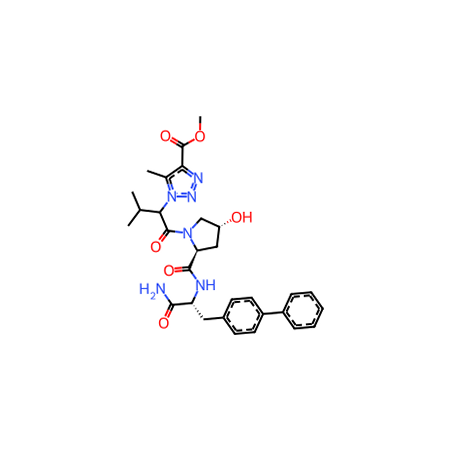 COC(=O)c1nnn(C(C(=O)N2C[C@H](O)C[C@H]2C(=O)N[C@H](Cc2ccc(-c3ccccc3)cc2)C(N)=O)C(C)C)c1C